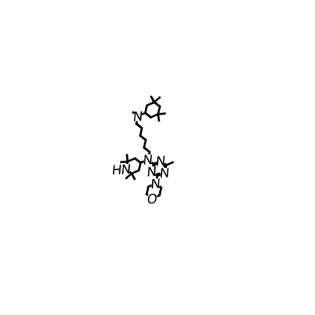 Cc1nc(N2CCOCC2)nc(N(CCCCCCN(C)C2CC(C)(C)CC(C)(C)C2)C2CC(C)(C)NC(C)(C)C2)n1